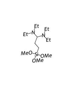 CCN(CC)C(CC[Si](OC)(OC)OC)N(CC)CC